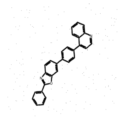 c1ccc(-c2nc3ccc(-c4ccc(-c5ccnc6ccccc56)cc4)cc3o2)cc1